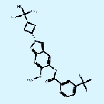 COc1cc2nn([C@H]3C[C@H](C(C)(C)O)C3)cc2cc1NC(=O)c1cncc(C(F)(F)F)c1